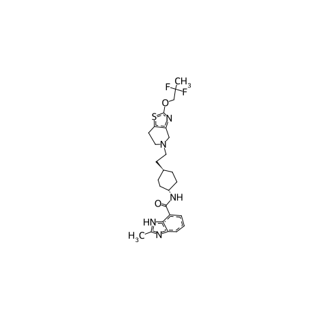 Cc1nc2cccc(C(=O)N[C@H]3CC[C@H](CCN4CCc5sc(OCC(C)(F)F)nc5C4)CC3)c2[nH]1